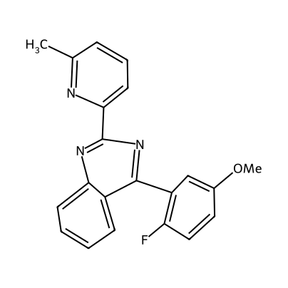 COc1ccc(F)c(-c2nc(-c3cccc(C)n3)nc3ccccc23)c1